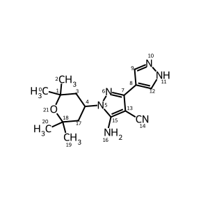 CC1(C)CC(n2nc(-c3cn[nH]c3)c(C#N)c2N)CC(C)(C)O1